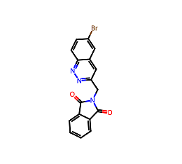 O=C1c2ccccc2C(=O)N1Cc1cc2cc(Br)ccc2nn1